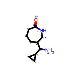 NC(C1CC1)C1CCCC(=O)NC1